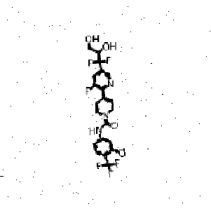 O=C(Nc1ccc(C(F)(F)F)c(Cl)c1)N1CC=C(c2ncc(C(F)(F)C(O)CO)cc2F)CC1